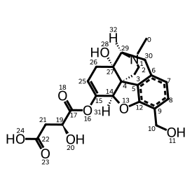 CN1CC[C@]23c4c5ccc(CO)c4O[C@H]2C(OC(=O)[C@@H](O)CC(=O)O)=CC[C@@]3(O)[C@H]1C5